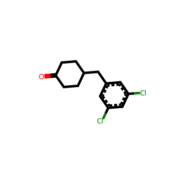 O=C1CCC(Cc2cc(Cl)cc(Cl)c2)CC1